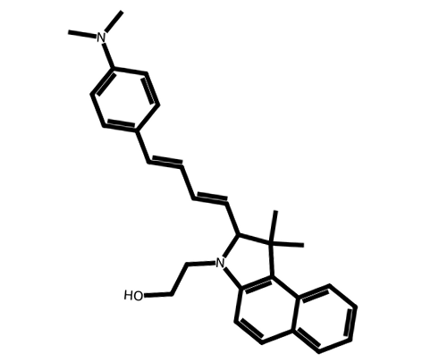 CN(C)c1ccc(/C=C/C=C/C2N(CCO)c3ccc4ccccc4c3C2(C)C)cc1